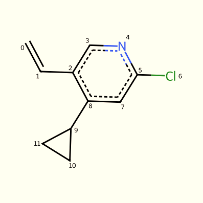 C=Cc1cnc(Cl)cc1C1CC1